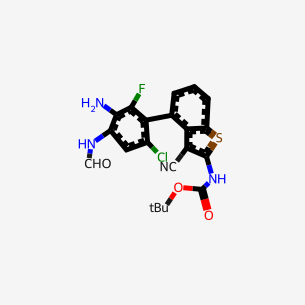 CC(C)(C)OC(=O)Nc1sc2cccc(-c3c(Cl)cc(NC=O)c(N)c3F)c2c1C#N